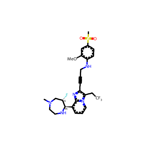 COc1cc(S(C)(=O)=O)ccc1NCC#Cc1nc2c([C@H]3NCCN(C)C[C@@H]3F)cccn2c1CC(F)(F)F